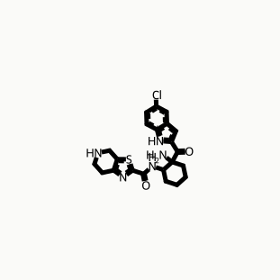 NC1(C(=O)c2cc3cc(Cl)ccc3[nH]2)CCCCC1NC(=O)c1nc2c(s1)CNCC2